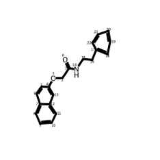 O=C(COc1ccc2ccccc2c1)NCCc1ccccc1